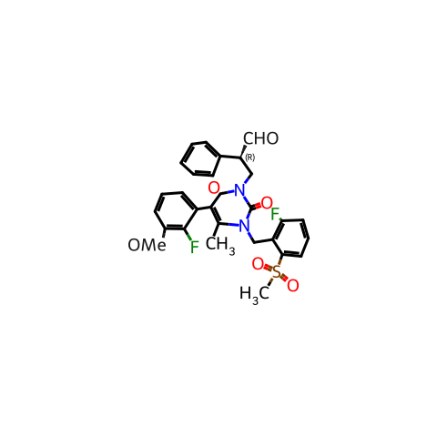 COc1cccc(-c2c(C)n(Cc3c(F)cccc3S(C)(=O)=O)c(=O)n(C[C@H](C=O)c3ccccc3)c2=O)c1F